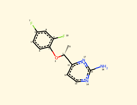 C[C@@H](Oc1ccc(F)cc1F)c1ccnc(N)n1